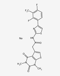 Cn1c(=O)c2c(CC(=O)Nc3nc(-c4ccc(F)c(C(F)(F)F)c4F)cs3)csc2n(C)c1=O.[Na]